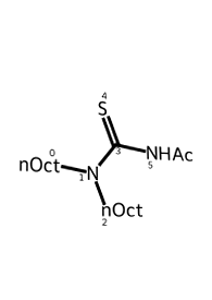 CCCCCCCCN(CCCCCCCC)C(=S)NC(C)=O